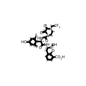 O=C(O)c1cccc2c1OB(O)[C@@H](NC(=O)[C@H](NC(=O)N1CCN(CC(F)(F)F)C(=O)C1=O)c1c(F)cc(O)cc1F)C2